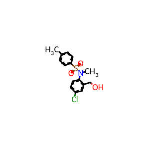 Cc1ccc(S(=O)(=O)N(C)c2ccc(Cl)cc2CO)cc1